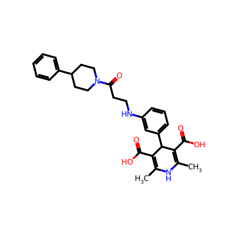 CC1=C(C(=O)O)C(c2cccc(NCCC(=O)N3CCC(c4ccccc4)CC3)c2)C(C(=O)O)=C(C)N1